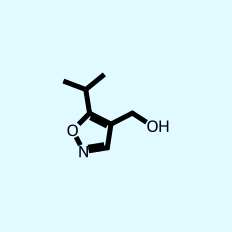 CC(C)c1oncc1CO